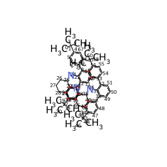 CC(C)(C)c1ccc(-c2cccc(-c3ccc(C(C)(C)C)cc3)c2/N=C2/CCCc3cc4c(nc32)/C(=N/c2c(-c3ccc(C(C)(C)C)cc3)cccc2-c2ccc(C(C)(C)C)cc2)CCC4)cc1